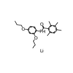 CCCOc1ccc(PC(=O)c2c(C)cc(C)c(C)c2C)c(OCCC)c1.[Li]